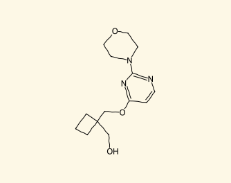 OCC1(COc2ccnc(N3CCOCC3)n2)CCC1